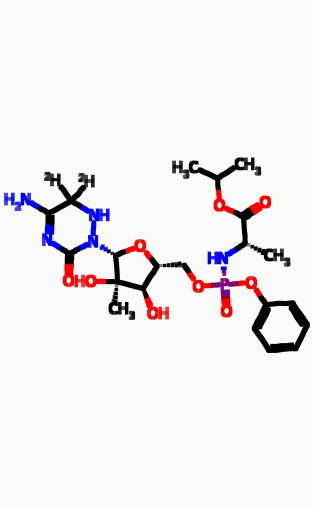 [2H]C1([2H])NN([C@@H]2O[C@H](CO[P@@](=O)(N[C@@H](C)C(=O)OC(C)C)Oc3ccccc3)[C@@H](O)[C@@]2(C)O)C(=O)N=C1N